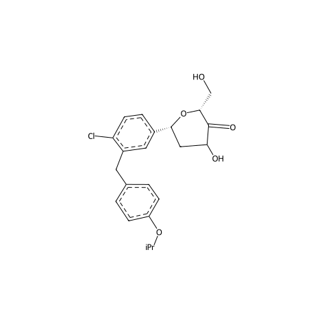 CC(C)Oc1ccc(Cc2cc([C@H]3CC(O)C(=O)[C@@H](CO)O3)ccc2Cl)cc1